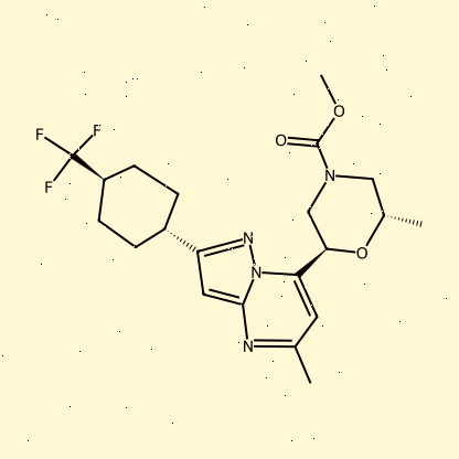 COC(=O)N1C[C@H](C)O[C@@H](c2cc(C)nc3cc([C@H]4CC[C@H](C(F)(F)F)CC4)nn23)C1